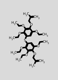 C=C(C)COc1c(OCC)cc(Sc2cc(OCC)c(OCC(=C)C)c(OCC)c2OCC)c(OCC)c1OCC